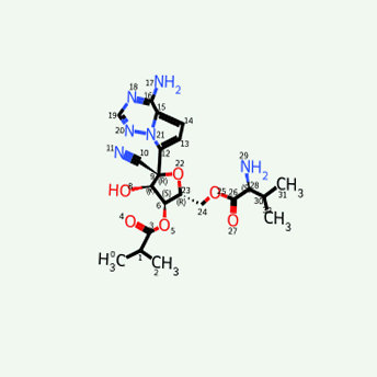 CC(C)C(=O)O[C@H]1[C@@H](O)[C@](C#N)(c2ccc3c(N)ncnn23)O[C@@H]1COC(=O)[C@@H](N)C(C)C